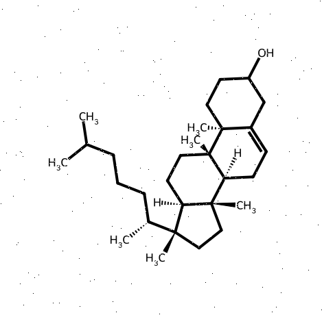 CC(C)CCC[C@@H](C)[C@@]1(C)CC[C@]2(C)[C@@H]1CC[C@@]1(C)[C@H]2CC=C2CC(O)CC[C@@]21C